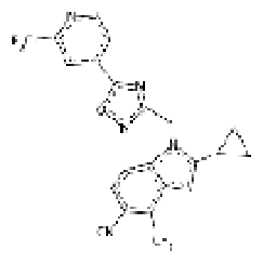 [C-]#[N+]c1ccc2c(cc(C3CC3)n2Cc2noc(-c3ccnc(C(F)(F)F)c3)n2)c1C(F)(F)F